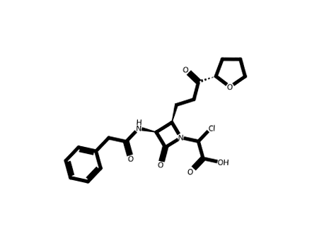 O=C(Cc1ccccc1)N[C@@H]1C(=O)N(C(Cl)C(=O)O)[C@@H]1CCC(=O)[C@@H]1CCCO1